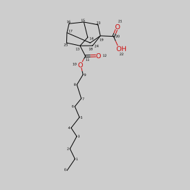 CCCCCCCCCCOC(=O)C12CC3CC(CC(C(=O)O)(C3)C1)C2